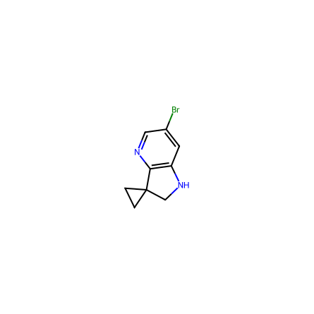 Brc1cnc2c(c1)NCC21CC1